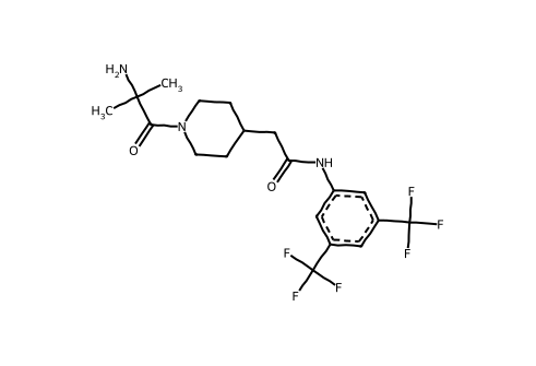 CC(C)(N)C(=O)N1CCC(CC(=O)Nc2cc(C(F)(F)F)cc(C(F)(F)F)c2)CC1